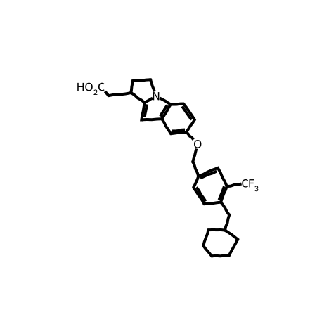 O=C(O)CC1CCn2c1cc1cc(OCc3ccc(CC4CCCCC4)c(C(F)(F)F)c3)ccc12